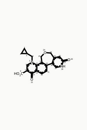 O=C(O)c1cn(CC2CC2)c2c3c(ccc2c1=O)-c1c[nH]c(=O)cc1COC3